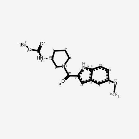 CC(C)(C)OC(=O)N[C@@H]1CCCN(C(=O)c2cc3cc(OC(F)(F)F)ccc3[nH]2)C1